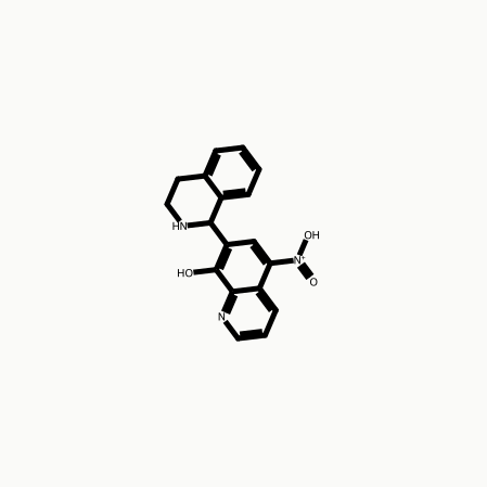 O=[N+](O)c1cc(C2NCCc3ccccc32)c(O)c2ncccc12